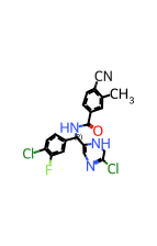 Cc1cc(C(=O)N[C@@H](C2=CN=C(Cl)CN2)c2ccc(Cl)c(F)c2)ccc1C#N